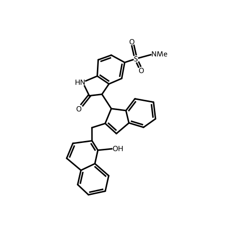 CNS(=O)(=O)c1ccc2c(c1)C(C1C(Cc3ccc4ccccc4c3O)=Cc3ccccc31)C(=O)N2